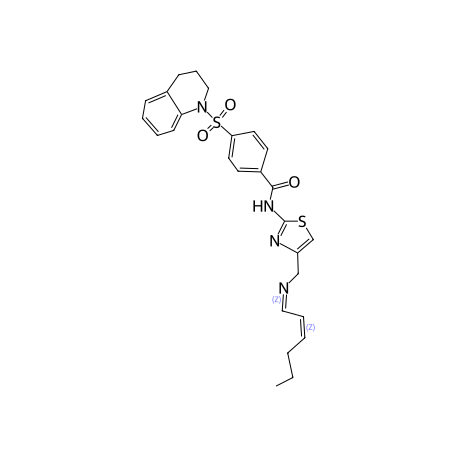 CCC/C=C\C=N/Cc1csc(NC(=O)c2ccc(S(=O)(=O)N3CCCc4ccccc43)cc2)n1